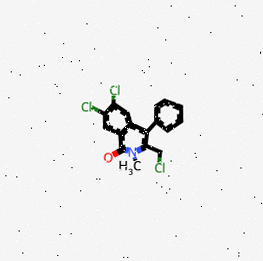 Cn1c(CCl)c(-c2ccccc2)c2cc(Cl)c(Cl)cc2c1=O